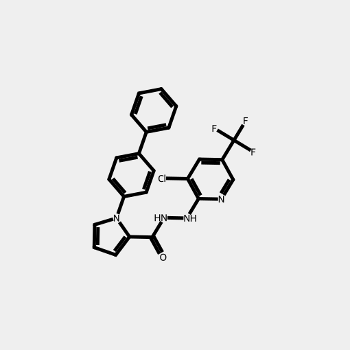 O=C(NNc1ncc(C(F)(F)F)cc1Cl)c1cccn1-c1ccc(-c2ccccc2)cc1